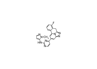 Cn1nccc1Nc1nccc(-c2cc3n4c(nnc4c2)Cc2c(F)cccc2-3)n1